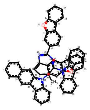 CC1C/C=C(c2cc3c(cc2-n2c4ccccc4c4cc5ccccc5cc42)oc2ccccc23)/N=C(c2ccc3c(c2)oc2ccccc23)\N=C/1n1c2ccccc2c2ccccc21